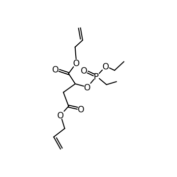 C=CCOC(=O)CC(OP(=O)(CC)OCC)C(=O)OCC=C